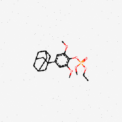 CCOP(=O)(OC)Oc1c(OC)cc(C23CC4CC(CC(C4)C2)C3)cc1OC